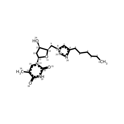 CCCCCCc1cn(C[C@H]2O[C@@H](n3cc(C)c(=O)[nH]c3=O)C[C@H]2O)nn1